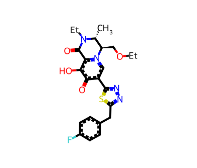 CCOC[C@@H]1[C@@H](C)N(CC)C(=O)c2c(O)c(=O)c(-c3nnc(Cc4ccc(F)cc4)s3)cn21